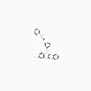 COc1cc(Nc2nc3ccccc3nc2NS(=O)(=O)c2cccc(NC(=O)CNc3ccccc3Cl)c2)cc(OC)c1